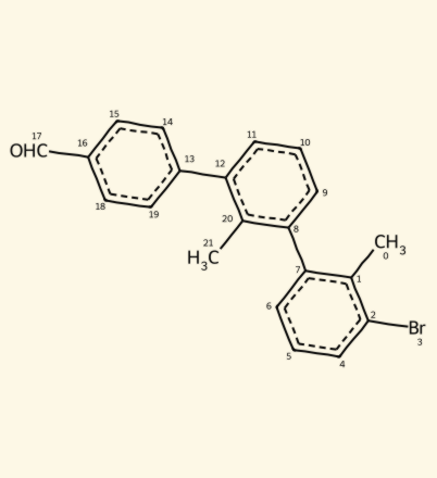 Cc1c(Br)cccc1-c1cccc(-c2ccc(C=O)cc2)c1C